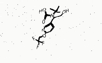 CC(C)(C)N(C(=O)O)C(CO)c1ccc(OCC(F)(F)F)nc1